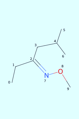 CCC(CC(C)C)=NOC